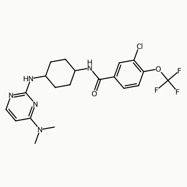 CN(C)c1ccnc(NC2CCC(NC(=O)c3ccc(OC(F)(F)F)c(Cl)c3)CC2)n1